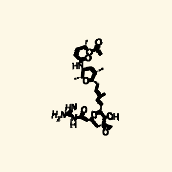 CC(=O)O[C@@H](C)/C=C\C(=O)N[C@@H]1C[C@H](C)[C@H](C/C=C(C)/C=C/[C@H]2O[C@H](CC(=O)NC(=N)N)C[C@@]3(CO3)[C@@H]2O)O[C@@H]1C